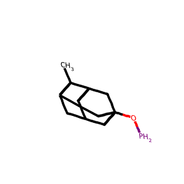 CC1C2CC3CC1CC(OP)(C3)C2